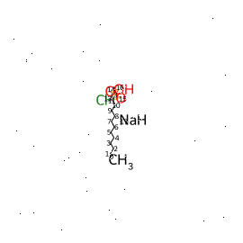 CCCCCCCCCCCC(Cl)S(=O)(=O)O.[NaH]